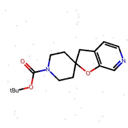 CC(C)(C)OC(=O)N1CCC2(CC1)Cc1ccncc1O2